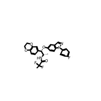 C[C@H](NC(=O)C(C)(F)F)[C@@H](Oc1ccc2c(cnn2-c2ccc(F)cc2)c1)c1ccc2c(c1)OCCO2